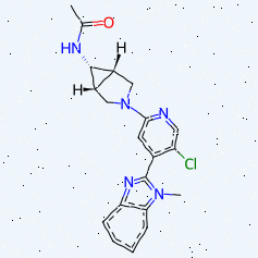 CC(=O)N[C@@H]1[C@@H]2CN(c3cc(-c4nc5ccccc5n4C)c(Cl)cn3)C[C@@H]21